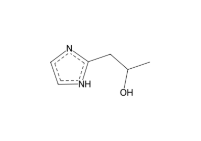 CC(O)Cc1ncc[nH]1